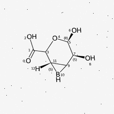 O=C(O)C1O[C@@H](O)[C@@H](O)C2B[C@H]12